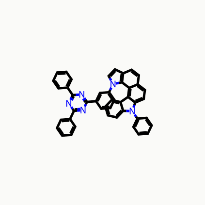 c1ccc(-c2nc(-c3ccccc3)nc(-c3cccc(-n4ccc5ccc6ccc7c(c8ccccc8n7-c7ccccc7)c6c54)c3)n2)cc1